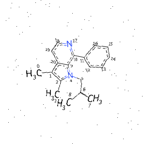 Cc1c(C)n(CC(C)C)c2c(-c3ccccc3)nccc12